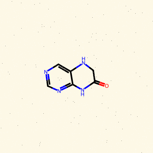 O=C1CNc2cncnc2N1